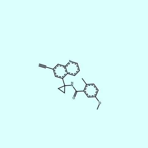 C#Cc1cc(C2(NC(=O)c3cc(OC)ccc3C)CC2)c2cccnc2c1